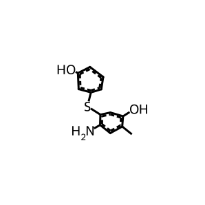 Cc1cc(N)c(Sc2cccc(O)c2)cc1O